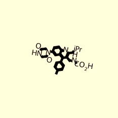 Cc1ccc(-c2c(CNC(=O)O)c(CC(C)C)nc3ccc(N4CC(=O)NCC4=O)cc23)cc1